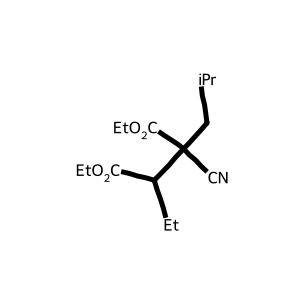 CCOC(=O)C(CC)C(C#N)(CC(C)C)C(=O)OCC